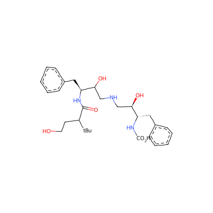 CC(C)(C)C(CCO)C(=O)N[C@@H](Cc1ccccc1)C(O)CNC[C@@H](O)[C@H](Cc1ccccc1)NC(=O)O